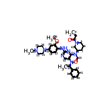 C=CC(=O)N1CCCC(N(C=O)c2nc(Nc3ccc(N4CCN(C)CC4)cc3OC)ncc2/N=C(\C)c2ccccc2)C1